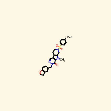 COc1ccc(S(=O)(=O)N2CCc3c(n(C)c4c(=O)n(Cc5ccc6c(c5)CCO6)ncc34)C2)cc1